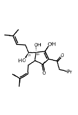 CC(C)=CCC1C(=O)C(C(=O)CC(C)C)=C(O)[C@]1(O)[C@@H](O)CC=C(C)C